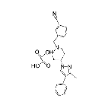 Cc1nn(C2CCN(Cc3cccc(C#N)c3)CC2)cc1-c1ccccc1.O=C(O)C(=O)O